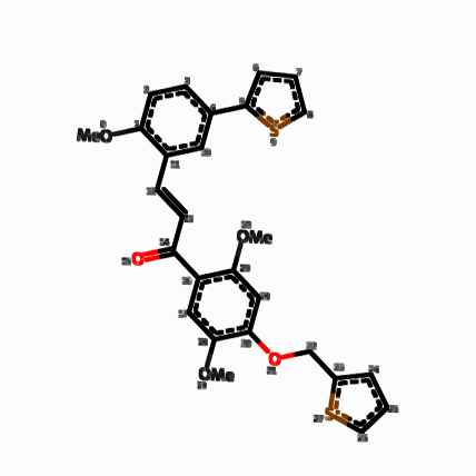 COc1ccc(-c2cccs2)cc1C=CC(=O)c1cc(OC)c(OCc2cccs2)cc1OC